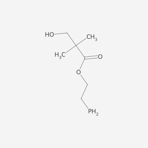 CC(C)(CO)C(=O)OCCP